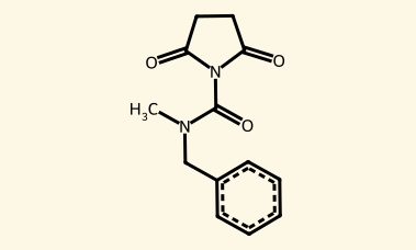 CN(Cc1ccccc1)C(=O)N1C(=O)CCC1=O